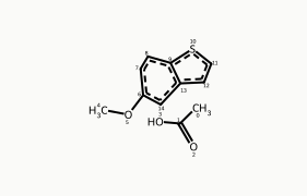 CC(=O)O.COc1ccc2sccc2c1